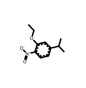 [CH2]C(C)c1ccc([N+](=O)[O-])c(OCC)c1